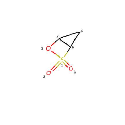 O=S1(=O)OC2CC21